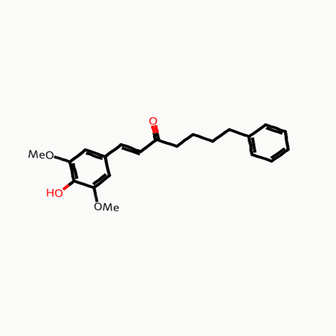 COc1cc(/C=C/C(=O)CCCCc2ccccc2)cc(OC)c1O